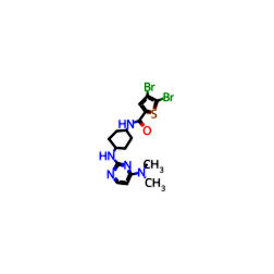 CN(C)c1ccnc(NC2CCC(NC(=O)c3cc(Br)c(Br)s3)CC2)n1